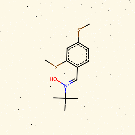 CSc1ccc(/C=[N+](\O)C(C)(C)C)c(SC)c1